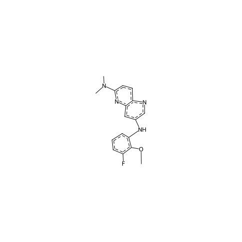 COc1c(F)cccc1Nc1cnc2ccc(N(C)C)nc2c1